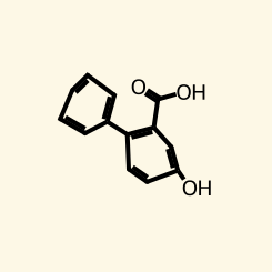 O=C(O)c1cc(O)ccc1-c1ccccc1